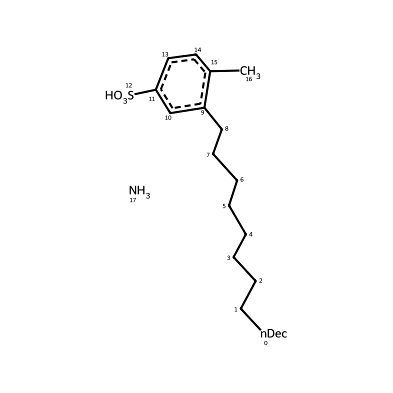 CCCCCCCCCCCCCCCCCCc1cc(S(=O)(=O)O)ccc1C.N